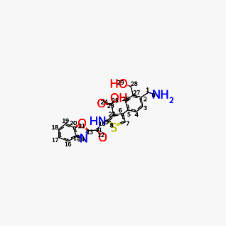 NCc1ccc(-c2csc(NC(=O)c3nc4ccccc4o3)c2C(=O)O)cc1CO